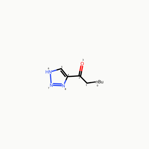 CCCCCC(=O)c1c[nH]nn1